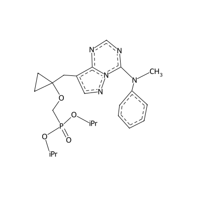 CC(C)OP(=O)(COC1(Cc2cnn3c(N(C)c4ccccc4)ncnc23)CC1)OC(C)C